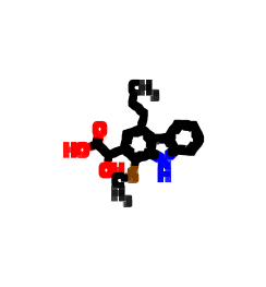 CCCc1cc(C(O)C(=O)O)c(SC)c2[nH]c3ccccc3c12